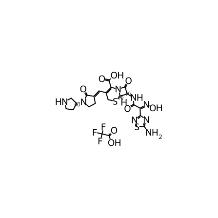 Nc1nc(C(=NO)C(=O)N[C@@H]2C(=O)N3C(C(=O)O)=C(C=C4CCN([C@@H]5CCNC5)C4=O)CS[C@H]23)ns1.O=C(O)C(F)(F)F